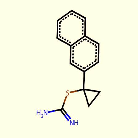 N=C(N)SC1(c2ccc3ccccc3c2)CC1